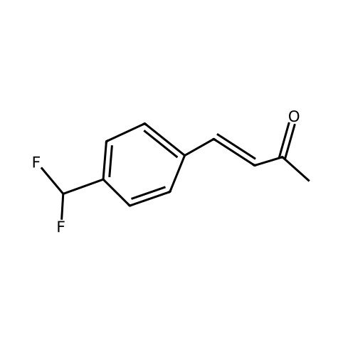 CC(=O)C=Cc1ccc(C(F)F)cc1